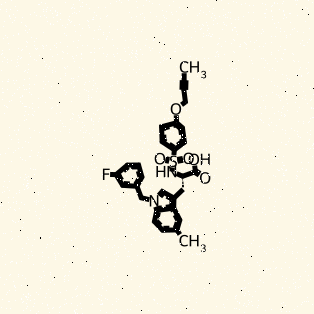 CC#CCOc1ccc(S(=O)(=O)N[C@@H](Cc2cn(Cc3cccc(F)c3)c3ccc(C)cc23)C(=O)O)cc1